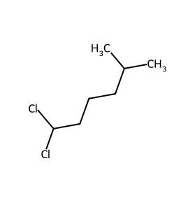 CC(C)CCCC(Cl)Cl